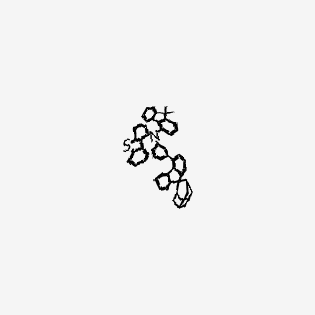 CC1(C)c2ccccc2-c2c(N(c3cccc(-c4cccc5c4-c4ccccc4C54C5CC6CC(C5)CC4C6)c3)c3cccc4sc5ccccc5c34)cccc21